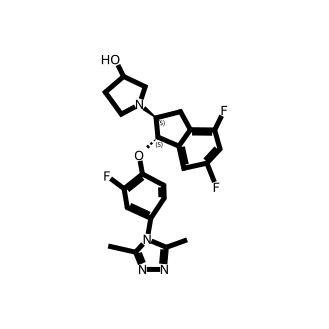 Cc1nnc(C)n1-c1ccc(O[C@H]2c3cc(F)cc(F)c3C[C@@H]2N2CCC(O)C2)c(F)c1